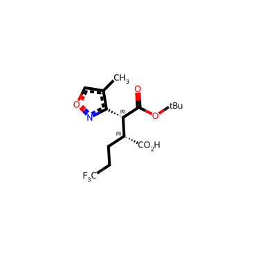 Cc1conc1[C@H](C(=O)OC(C)(C)C)[C@@H](CCC(F)(F)F)C(=O)O